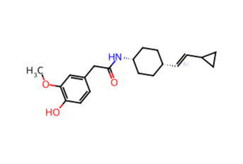 COc1cc(CC(=O)N[C@H]2CC[C@@H](/C=C/C3CC3)CC2)ccc1O